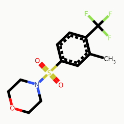 Cc1cc(S(=O)(=O)N2CCOCC2)ccc1C(F)(F)F